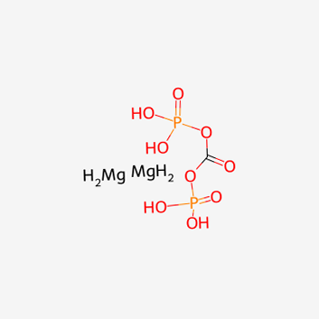 O=C(OP(=O)(O)O)OP(=O)(O)O.[MgH2].[MgH2]